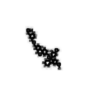 COc1ccc(C(OCc2ccc3c(c2)OCc2cc(COCc4cccc(CO)c4)ccc2-3)(c2ccccc2)c2ccc(OC)cc2)cc1